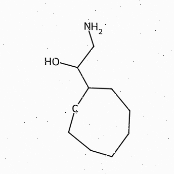 NCC(O)C1CCCCCCC1